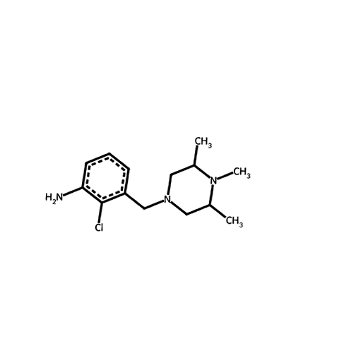 CC1CN(Cc2cccc(N)c2Cl)CC(C)N1C